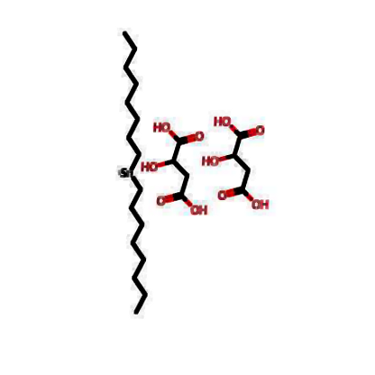 CCCCCCC[CH2][Sn][CH2]CCCCCCC.O=C(O)CC(O)C(=O)O.O=C(O)CC(O)C(=O)O